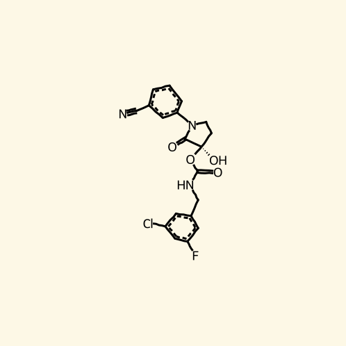 N#Cc1cccc(N2CC[C@@](O)(OC(=O)NCc3cc(F)cc(Cl)c3)C2=O)c1